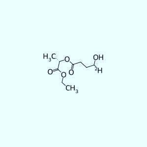 [2H]C(O)CCC(=O)O[C@@H](C)C(=O)OCC